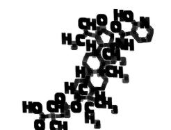 CC(C)C1=C2[C@H]3CC[C@@H]4[C@@]5(C)CC[C@H](OC(=O)CC(C)(C)C(=O)O)C(C)(C)[C@@H]5CC[C@@]4(C)[C@]3(C)CC[C@@]2(NC(=O)c2cccnc2O)CC1=O